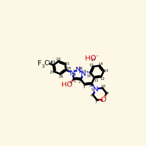 Oc1c2cc(N3CCOCC3)c3ccccc3[n+]2nn1-c1ccc(C(F)(F)F)cc1.[OH-]